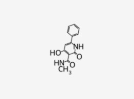 CNC(=O)c1c(O)cc(-c2ccccc2)[nH]c1=O